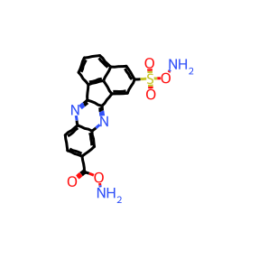 NOC(=O)c1ccc2nc3c(nc2c1)-c1cc(S(=O)(=O)ON)cc2cccc-3c12